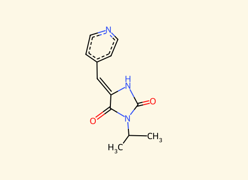 CC(C)N1C(=O)N/C(=C\c2ccncc2)C1=O